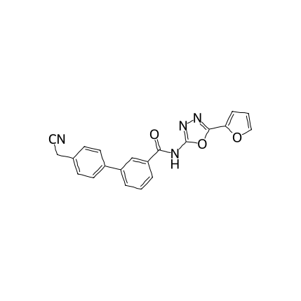 N#CCc1ccc(-c2cccc(C(=O)Nc3nnc(-c4ccco4)o3)c2)cc1